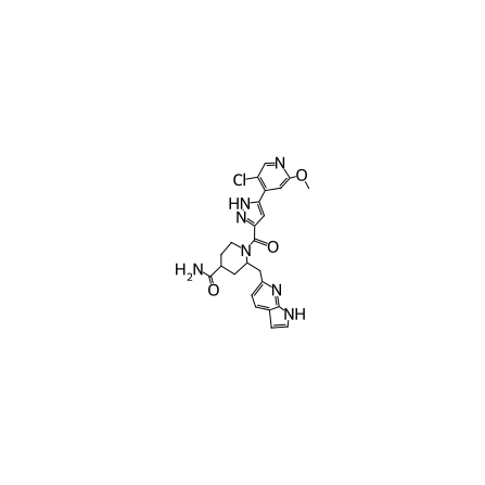 COc1cc(-c2cc(C(=O)N3CCC(C(N)=O)CC3Cc3ccc4cc[nH]c4n3)n[nH]2)c(Cl)cn1